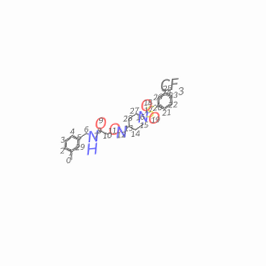 Cc1cccc(CNC(=O)CON=C2CCN(S(=O)(=O)c3cccc(C(F)(F)F)c3)CC2)c1